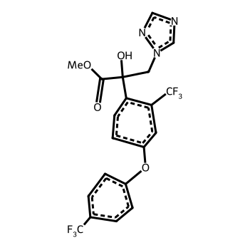 COC(=O)C(O)(Cn1cncn1)c1ccc(Oc2ccc(C(F)(F)F)cc2)cc1C(F)(F)F